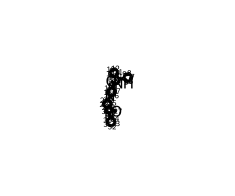 O=C(NC(c1ccccc1)c1ccccc1)N1CCN(c2ccc3c(c2)C(=O)N(C2CCCCC2)C3)CC1